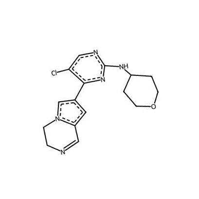 Clc1cnc(NC2CCOCC2)nc1-c1cc2n(c1)CCN=C2